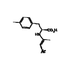 CC(=O)/C=C(\C)N[C@@H](Cc1ccc(C)cc1)C(=O)O